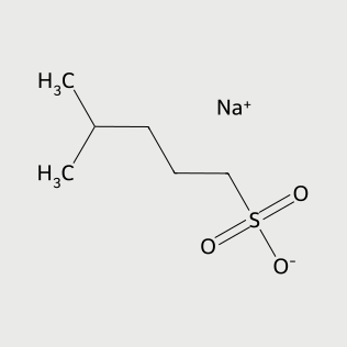 CC(C)CCCS(=O)(=O)[O-].[Na+]